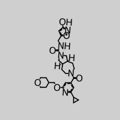 O=C(NCc1cc(O)no1)N1C[C@H]2CCN(C(=O)c3cc(OCC4CCOCC4)nc(C4CC4)c3)CC[C@H]2C1